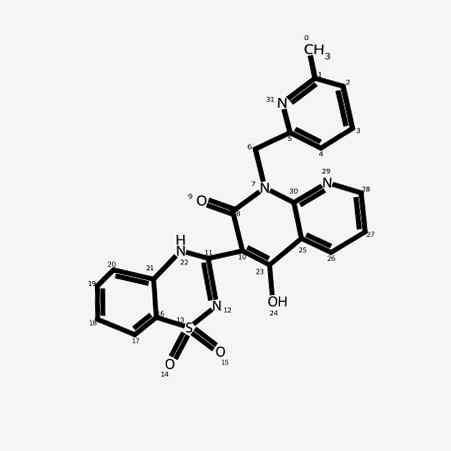 Cc1cccc(Cn2c(=O)c(C3=NS(=O)(=O)c4ccccc4N3)c(O)c3cccnc32)n1